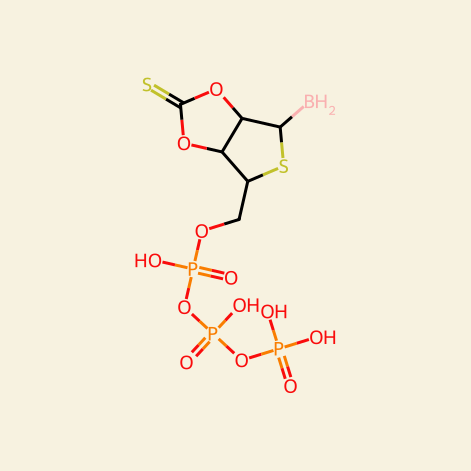 BC1SC(COP(=O)(O)OP(=O)(O)OP(=O)(O)O)C2OC(=S)OC12